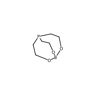 C1CP2CCOB(O1)OCC2